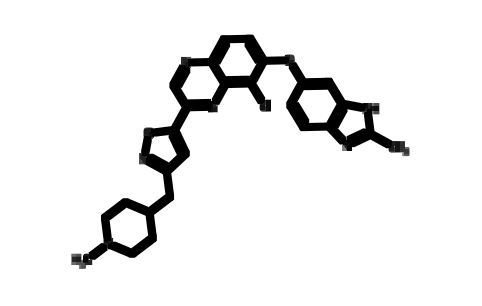 Cc1nc2ccc(Oc3ccc4ncc(-c5cc(CC6CCN(C)CC6)no5)nc4c3Cl)cc2[nH]1